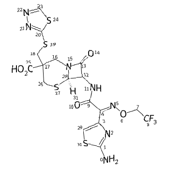 Nc1nc(C(=NOCC(F)(F)F)C(=O)NC2C(=O)N3CC(CSc4nncs4)(C(=O)O)CS[C@H]23)cs1